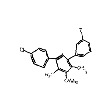 COc1c(C)c(-c2ccc(Cl)cc2)[c]c(-c2cccc(F)c2)c1C